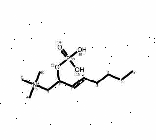 CCCCC=CC(C[N+](C)(C)C)OP(=O)(O)O